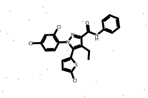 CCc1c(C(=O)Nc2ccccc2)nn(-c2ccc(Cl)cc2Cl)c1-c1ccc(Cl)s1